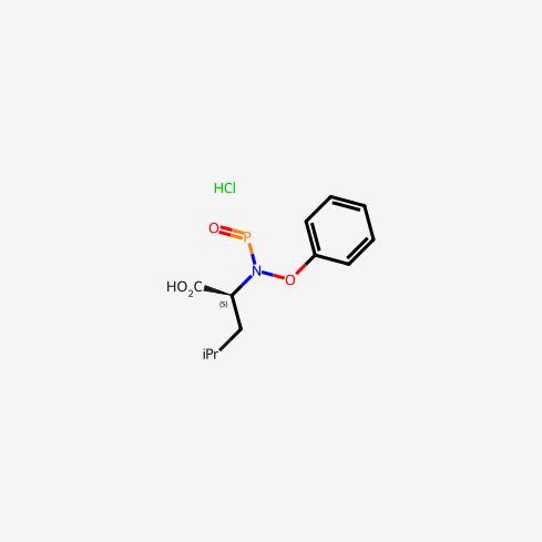 CC(C)C[C@@H](C(=O)O)N(Oc1ccccc1)P=O.Cl